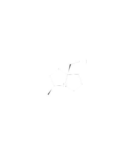 C[C@H]1CC[C@]2(CO)CCCN12